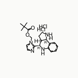 CC(C)(C)C(=O)OCn1ccnc1[C@@H]1Nc2ccccc2[C@@H]2NCC[C@@H]21.Cl.Cl